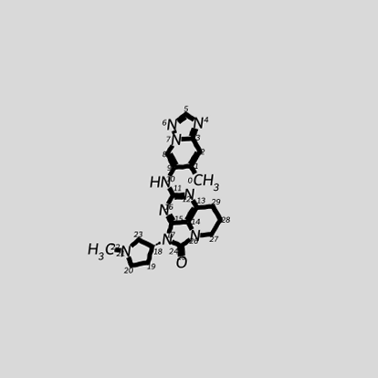 Cc1cc2ncnn2cc1Nc1nc2c3c(n1)n([C@@H]1CCN(C)C1)c(=O)n3CCC2